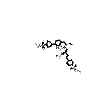 C=NC(=C\N(N)[C@H](CF)Cc1ccc(-c2ccc(S(C)(=O)=O)cc2)cc1)/C=C/c1ccc(S(C)(=O)=O)cc1